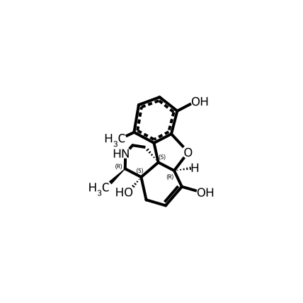 Cc1ccc(O)c2c1[C@]13CCN[C@H](C)[C@]1(O)CC=C(O)[C@@H]3O2